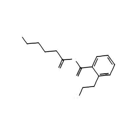 CCCCCC(=O)OC(=O)c1ccccc1CCC